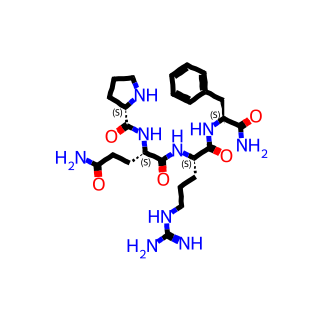 N=C(N)NCCC[C@H](NC(=O)[C@H](CCC(N)=O)NC(=O)[C@@H]1CCCN1)C(=O)N[C@@H](Cc1ccccc1)C(N)=O